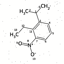 [CH2]C(C)c1cccc([N+](=O)[O-])c1CC